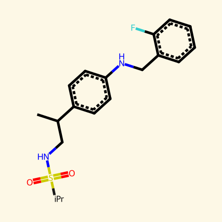 CC(CNS(=O)(=O)C(C)C)c1ccc(NCc2ccccc2F)cc1